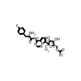 CCC(=O)OC[C@H]1O[C@@](C)(c2ccc3c(NC(=O)[C@@H](N)Cc4ccc(F)cc4)ncnn23)[C@H](O)[C@@H]1O